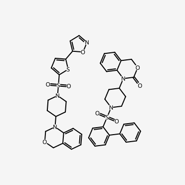 O=C1OCc2ccccc2N1C1CCN(S(=O)(=O)c2ccccc2-c2ccccc2)CC1.O=S(=O)(c1ccc(-c2ccno2)s1)N1CCC(N2COCc3ccccc32)CC1